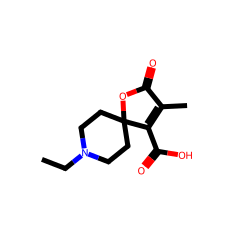 CCN1CCC2(CC1)OC(=O)C(C)=C2C(=O)O